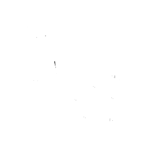 CONc1nc(N)nc2c1ncn2[C@@H]1C[C@H](O)[C@@H](COP(=O)(O)OP(=O)(O)OP(=O)(O)O)O1